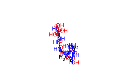 CN1C(=O)[C@@H](Cc2ccc(O)cc2)NC(=O)CNC(=O)[C@H](Cc2ccc3ccccc3c2)NC(=O)[C@H](CCCNC(=N)N)NC(=O)[C@H]1CCCNC(=O)c1ccc(NC(=O)CCCCNC(=O)CNCCN(CCN(CCNCC(=O)O)CC(=O)O)CC(=O)O)cc1